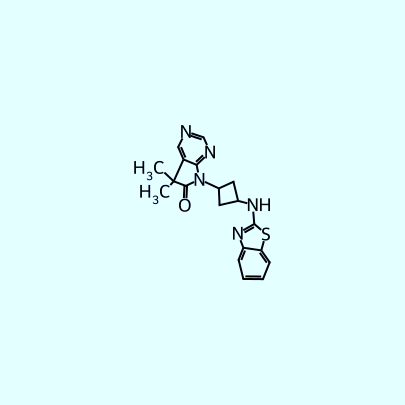 CC1(C)C(=O)N(C2CC(Nc3nc4ccccc4s3)C2)c2ncncc21